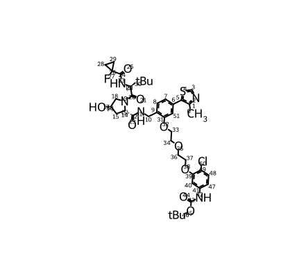 Cc1ncsc1-c1ccc(CNC(=O)[C@@H]2C[C@@H](O)CN2C(=O)[C@@H](NC(=O)C2(F)CC2)C(C)(C)C)c(OCCOCCOc2cc(NC(=O)OC(C)(C)C)ccc2Cl)c1